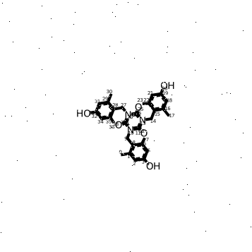 Cc1cc(O)cc(C)c1Cn1c(=O)n(Cc2c(C)cc(O)cc2C)c(=O)n(Cc2c(C)cc(O)cc2C)c1=O